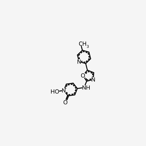 Cc1ccc(-c2cnc(Nc3ccn(O)c(=O)c3)o2)nc1